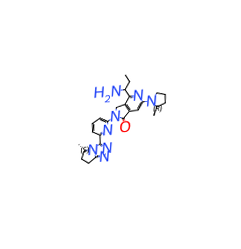 CCC(N)c1nc(N2CCC[C@H]2C)cc2c1CN(c1cccc(-c3nnc4n3[C@@H](C)CC4)n1)C2=O